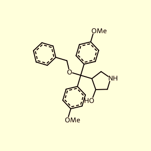 COc1ccc(C(OCc2ccccc2)(c2ccc(OC)cc2)C2CNCC2O)cc1